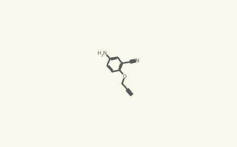 C#CCOc1ccc(N)cc1C#N